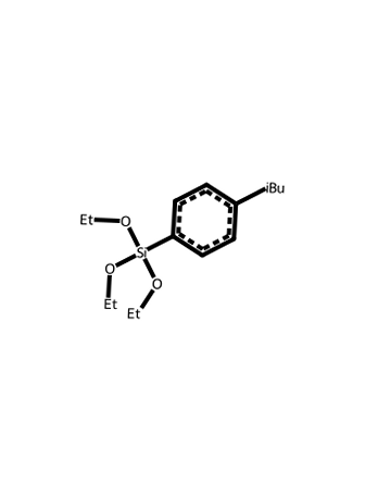 CCO[Si](OCC)(OCC)c1ccc(C(C)CC)cc1